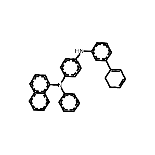 C1=CCCC(c2cccc(Nc3ccc(N(c4ccccc4)c4cccc5ccccc45)cc3)c2)=C1